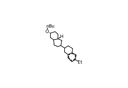 CCCCO[C@@H]1CC[C@@H]2CC(C3CCc4cc(CC)ccc4C3)CCC2C1